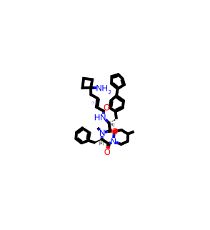 CC1CCN(C(=O)[C@@H](Cc2ccccc2)N(C)C(=O)[C@@H](Cc2ccc(-c3ccccc3)cc2)NC(=O)/C=C/CC2(N)CCC2)CC1